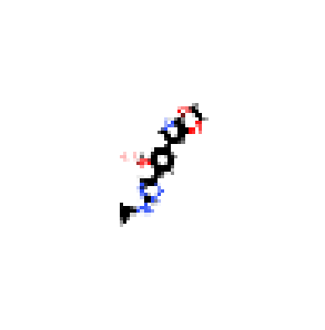 BOc1cc(-c2cnc3c(c2)OCCO3)ccc1-c1cnc(NC2CC2)nn1